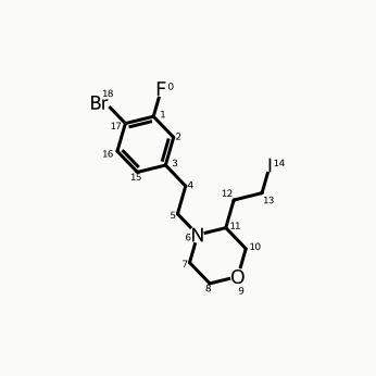 Fc1cc(CCN2CCOCC2CCI)ccc1Br